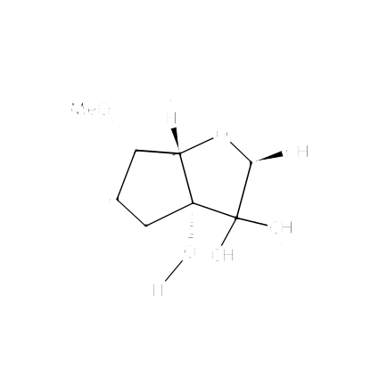 [3H]O[C@]12CC[C@H](OC)[C@@H]1O[C@@H](C)C2(C)C